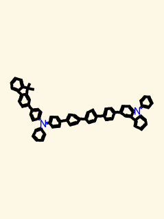 CC1(C)c2ccccc2-c2ccc(-c3ccc(N(c4ccccc4)c4ccc(-c5ccc(-c6ccc(-c7ccc(-c8ccc9c(c8)c8ccccc8n9-c8ccccc8)cc7)cc6)cc5)cc4)cc3)cc21